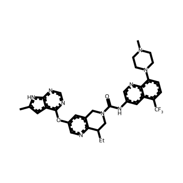 CCC1CN(C(=O)Nc2cnc3c(N4CCN(C)CC4)ccc(C(F)(F)F)c3c2)Cc2cc(Oc3ncnc4[nH]c(C)cc34)cnc21